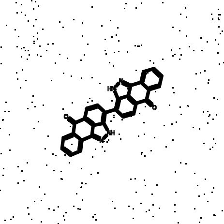 O=C1c2ccccc2-c2n[nH]c3c(-c4ccc5c6c(n[nH]c46)-c4ccccc4C5=O)ccc1c23